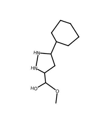 COC(O)C1CC(C2CCCCC2)NN1